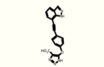 O=C(O)c1nn[nH]c1Oc1ccc(C#Cc2cccc3cn[nH]c23)cc1